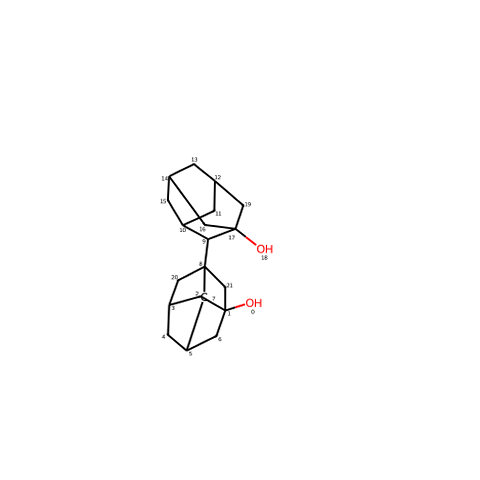 OC12CC3CC(C1)CC(C1C4CC5CC(C4)CC1(O)C5)(C3)C2